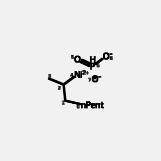 CCCCCC[CH](C)[Ni+2].O=[PH]([O-])[O-]